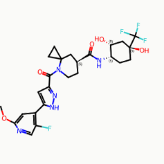 COc1cc(-c2cc(C(=O)N3CC[C@H](C(=O)N[C@H]4CC[C@@](O)(C(F)(F)F)C[C@H]4O)CC34CC4)n[nH]2)c(F)cn1